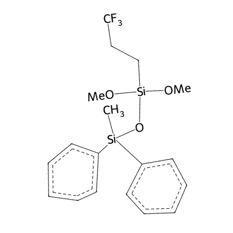 CO[Si](CCC(F)(F)F)(OC)O[Si](C)(c1ccccc1)c1ccccc1